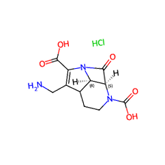 Cl.NCC1=C(C(=O)O)N2C(=O)[C@@H]3[C@H]2C1CCN3C(=O)O